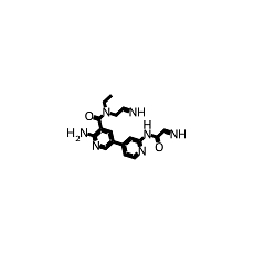 CCN(CC=N)C(=O)c1cc(-c2ccnc(NC(=O)C=N)c2)cnc1N